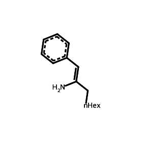 CCCCCCCC(N)=Cc1ccccc1